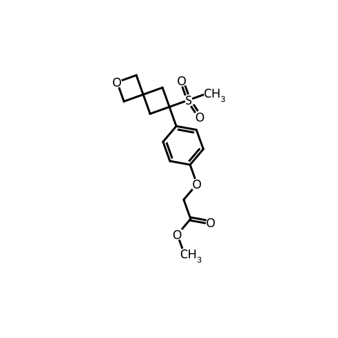 COC(=O)COc1ccc(C2(S(C)(=O)=O)CC3(COC3)C2)cc1